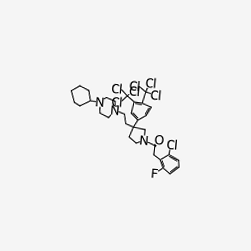 O=C(Cc1c(F)cccc1Cl)N1CCC(CCN2CCN(C3CCCCC3)CC2)(c2ccc(C(Cl)(Cl)Cl)c(C(Cl)(Cl)Cl)c2)C1